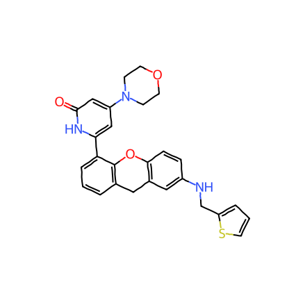 O=c1cc(N2CCOCC2)cc(-c2cccc3c2Oc2ccc(NCc4cccs4)cc2C3)[nH]1